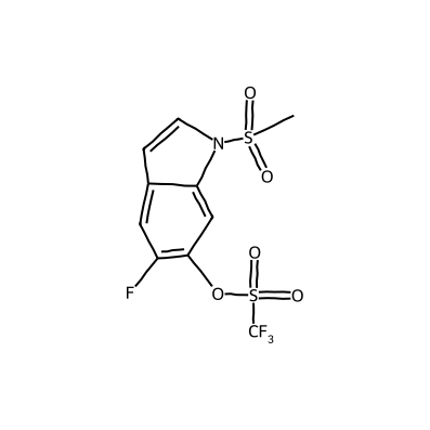 CS(=O)(=O)n1ccc2cc(F)c(OS(=O)(=O)C(F)(F)F)cc21